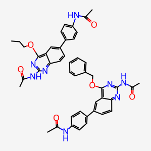 CC(=O)Nc1ccc(-c2ccc3nc(NC(C)=O)nc(OCc4ccccc4)c3c2)cc1.CCCOc1nc(NC(C)=O)nc2ccc(-c3ccc(NC(C)=O)cc3)cc12